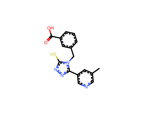 Cc1cncc(-c2nnc(S)n2Cc2cccc(C(=O)O)c2)c1